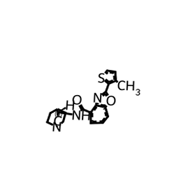 Cc1ccsc1-c1nc2c(C(=O)N[C@@H]3CN4CCC3CC4)cccc2o1